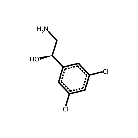 NC[C@H](O)c1cc(Cl)cc(Cl)c1